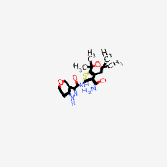 CC1(C)Cc2c(sc(NC(=O)c3n[nH]c4c3COCC4)c2C(N)=O)C(C)(C)O1